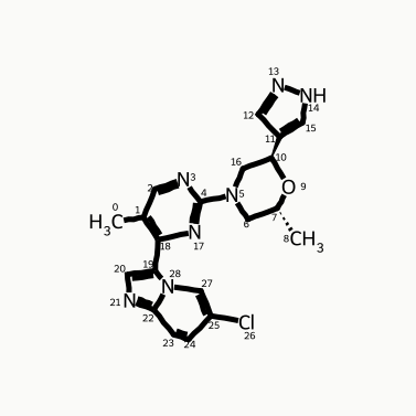 Cc1cnc(N2C[C@@H](C)O[C@H](c3cn[nH]c3)C2)nc1-c1cnc2ccc(Cl)cn12